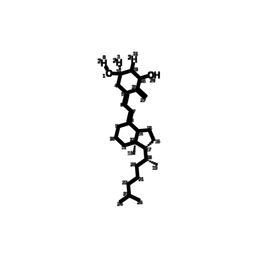 [2H]O[C@]1([2H])C/C(=C/C=C2CCC[C@@]3(C)C2CC[C@@H]3[C@H](C)CCCC(C)C)C(=C)C(O)C1[2H]